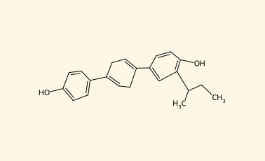 CCC(C)c1cc(C2=CCC(c3ccc(O)cc3)=CC2)ccc1O